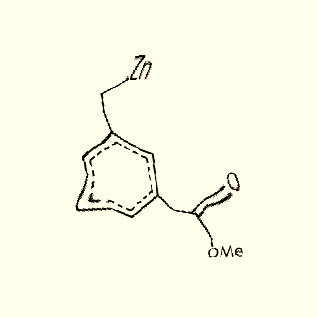 COC(=O)c1cccc([CH2][Zn])c1